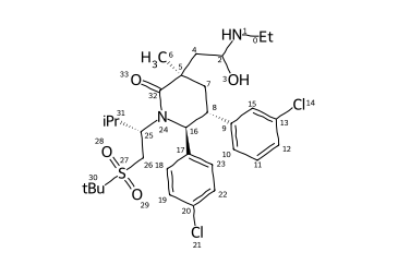 CCNC(O)C[C@@]1(C)C[C@H](c2cccc(Cl)c2)[C@@H](c2ccc(Cl)cc2)N([C@H](CS(=O)(=O)C(C)(C)C)C(C)C)C1=O